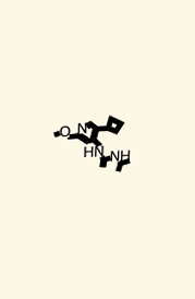 C=C(NCc1cc(COC)ncc1C1CCC1)NC(C)C